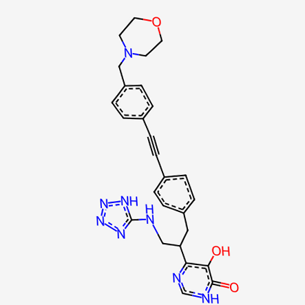 O=c1[nH]cnc(C(CNc2nnn[nH]2)Cc2ccc(C#Cc3ccc(CN4CCOCC4)cc3)cc2)c1O